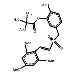 COc1cc(OC)c(/C=C/S(=O)(=O)Cc2ccc(OC)c(OC(=O)C(C)(C)OC(C)=O)c2)c(OC)c1